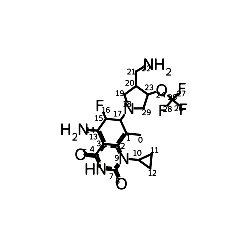 CC1=c2c(c(=O)[nH]c(=O)n2C2CC2)=C(N)C(F)C1N1CC(CN)C(OC(F)(F)F)C1